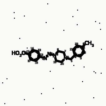 Cc1ccc(CN2CCN(/N=N/c3ccc(C(=O)O)cc3)CC2)cc1